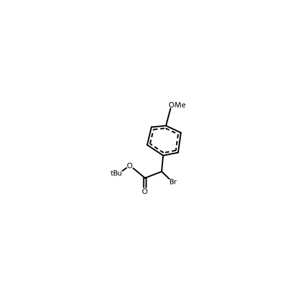 COc1ccc(C(Br)C(=O)OC(C)(C)C)cc1